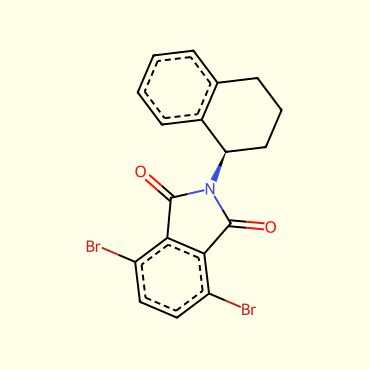 O=C1c2c(Br)ccc(Br)c2C(=O)N1[C@@H]1CCCc2ccccc21